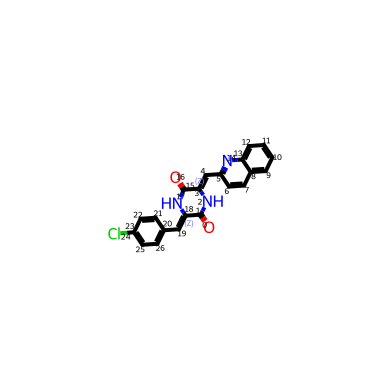 O=c1[nH]/c(=C\c2ccc3ccccc3n2)c(=O)[nH]/c1=C\c1ccc(Cl)cc1